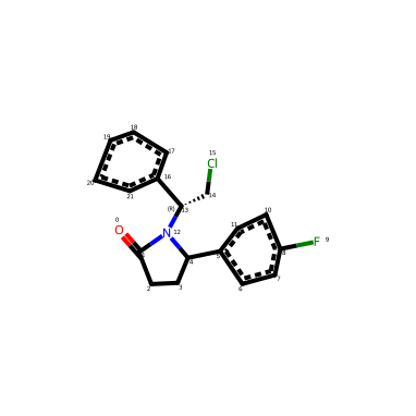 O=C1CCC(c2ccc(F)cc2)N1[C@@H](CCl)c1ccccc1